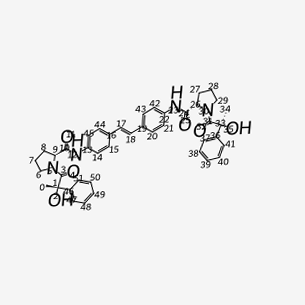 C[C@@](O)(C(=O)N1CCC[C@H]1C(=O)Nc1ccc(/C=C/c2ccc(NC(=O)[C@@H]3CCCN3C(=O)[C@@](C)(O)c3ccccc3)cc2)cc1)c1ccccc1